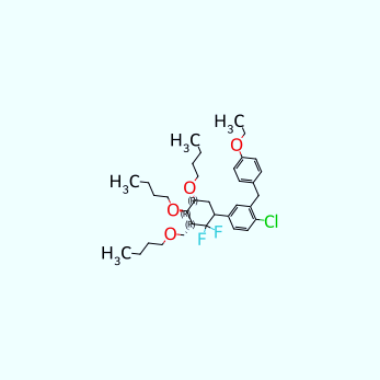 CCCCOC[C@@H]1[C@@H](OCCCC)[C@H](OCCCC)CC(c2ccc(Cl)c(Cc3ccc(OCC)cc3)c2)C1(F)F